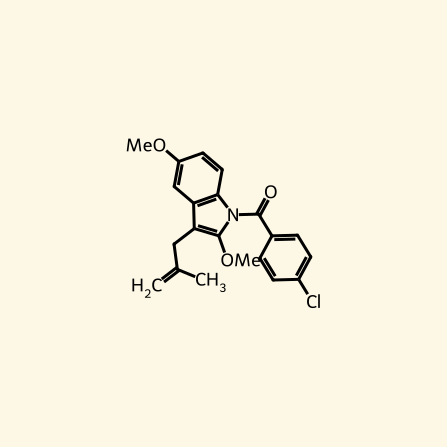 C=C(C)Cc1c(OC)n(C(=O)c2ccc(Cl)cc2)c2ccc(OC)cc12